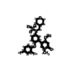 CCOc1cc(=O)n(C)cc1-c1cc(N(CC2CCOCC2)S(=O)(=O)CC)ccc1Oc1ccc(F)cc1F